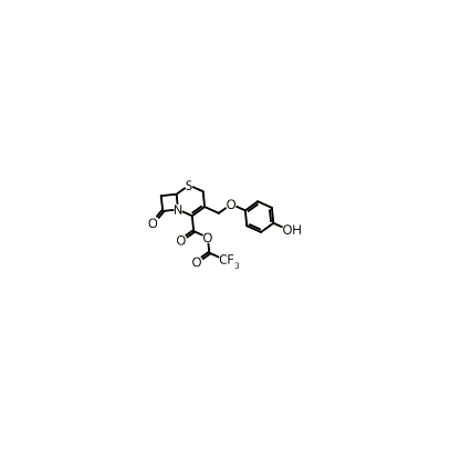 O=C(OC(=O)C(F)(F)F)C1=C(COc2ccc(O)cc2)CSC2CC(=O)N12